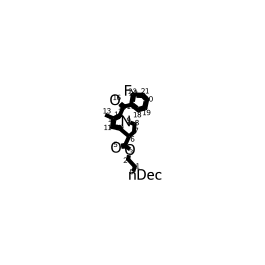 CCCCCCCCCCCCOC(=O)C1CCn2c1cc(C)c2C(=O)c1ccccc1F